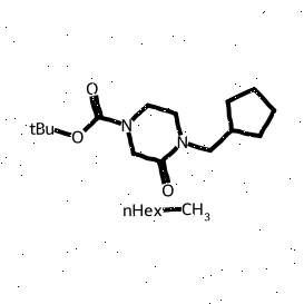 CC(C)(C)OC(=O)N1CCN(CC2CCCC2)C(=O)C1.CCCCCCC